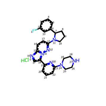 Cl.Fc1cccc(C2CCCN2c2ccc3ncc(-c4cccc(N5CCNCC5)n4)n3n2)c1